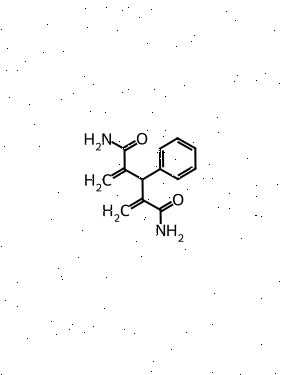 C=C(C(N)=O)C(C(=C)C(N)=O)c1ccccc1